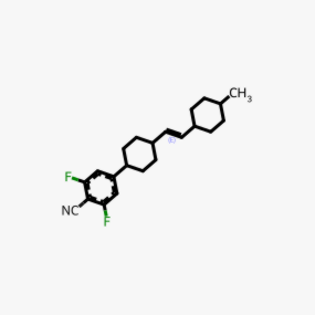 CC1CCC(/C=C/C2CCC(c3cc(F)c(C#N)c(F)c3)CC2)CC1